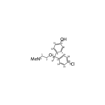 CNCCOC(C)(c1ccc(O)cc1)c1ccc(Cl)cc1